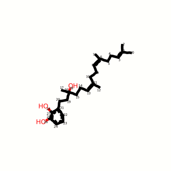 CC(C)=CCCC(C)=CCCC(C)=CCCC(C)(O)CCc1cccc(O)c1O